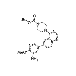 COc1ncc(-c2ccc3ncnc(N4CCN(C(=O)OC(C)(C)C)CC4)c3c2)cc1N